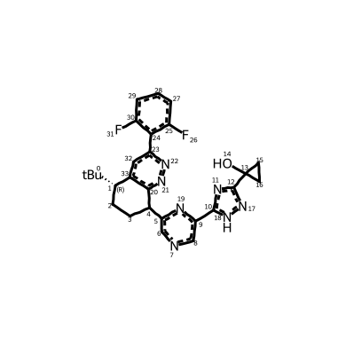 CC(C)(C)[C@H]1CCC(c2cncc(-c3nc(C4(O)CC4)n[nH]3)n2)c2nnc(-c3c(F)cccc3F)cc21